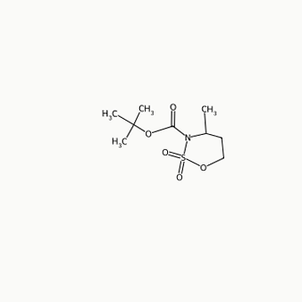 CC1CCOS(=O)(=O)N1C(=O)OC(C)(C)C